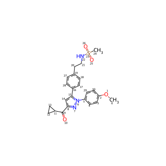 COc1ccc(-n2nc(C(=O)C3CC3)cc2-c2ccc(CCNS(C)(=O)=O)cc2)cc1